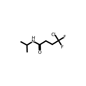 CC(C)NC(=O)CCC(F)(F)Cl